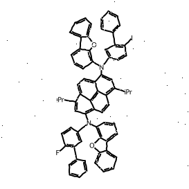 CC(C)c1cc(N(c2ccc(F)c(-c3ccccc3)c2)c2cccc3c2oc2ccccc23)c2ccc3c(C(C)C)cc(N(c4ccc(I)c(-c5ccccc5)c4)c4cccc5c4oc4ccccc45)c4ccc1c2c34